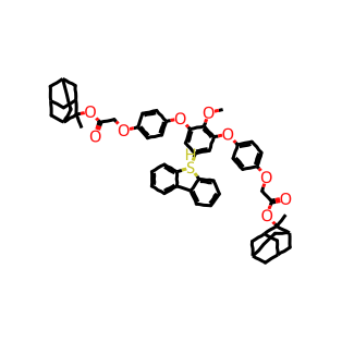 COc1c(Oc2ccc(OCC(=O)OC3(C)C4CC5CC(C4)CC3C5)cc2)cc([SH]2c3ccccc3-c3ccccc32)cc1Oc1ccc(OCC(=O)OC2(C)C3CC4CC(C3)CC2C4)cc1